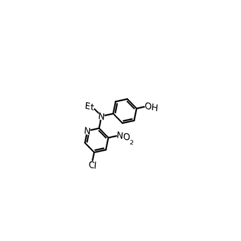 CCN(c1ccc(O)cc1)c1ncc(Cl)cc1[N+](=O)[O-]